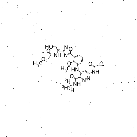 [2H]C([2H])([2H])NC(=O)c1nnc(NC(=O)C2CC2)cc1Nc1cccc(-c2nc([C@H](CO)NC(=O)COC)no2)c1OC